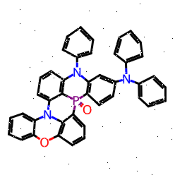 O=P12c3ccc(N(c4ccccc4)c4ccccc4)cc3N(c3ccccc3)c3cccc(c31)N1c3ccccc3Oc3cccc2c31